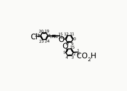 O=C(O)Cc1cccc(Oc2ccccc2OCC#Cc2ccc(Cl)cc2)c1